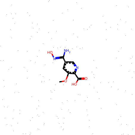 COc1cc(/C(N)=N/O)cnc1C(=O)O